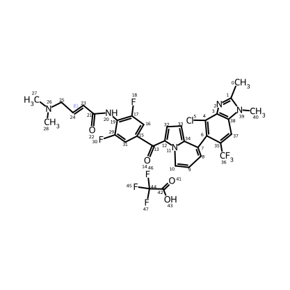 Cc1nc2c(Cl)c(-c3cccn4c(C(=O)c5cc(F)c(NC(=O)/C=C/CN(C)C)c(F)c5)ccc34)c(C(F)(F)F)cc2n1C.O=C(O)C(F)(F)F